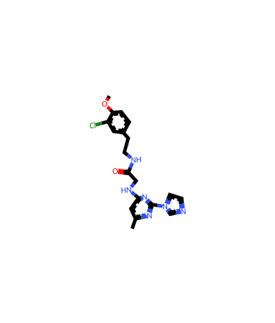 COc1ccc(CCNC(=O)CNc2cc(C)nc(-n3ccnc3)n2)cc1Cl